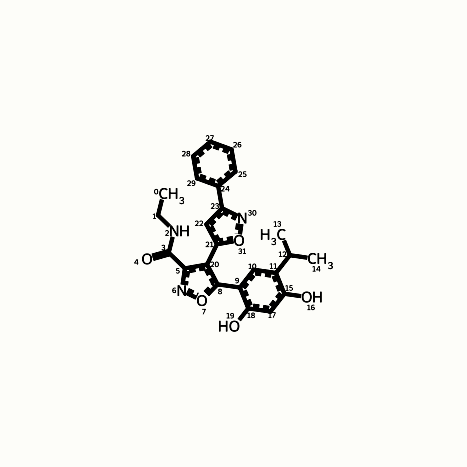 CCNC(=O)c1noc(-c2cc(C(C)C)c(O)cc2O)c1-c1cc(-c2ccccc2)no1